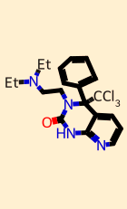 CCN(CC)CCN1C(=O)Nc2ncccc2C1(c1ccccc1)C(Cl)(Cl)Cl